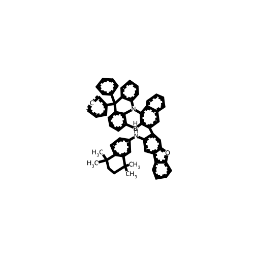 CC1(C)CCC(C)(C)c2cc(Nc3cc4c(cc3-c3cc5ccccc5c5c3Bc3cccc6c3N5c3ccccc3C6(c3ccccc3)c3ccccc3)oc3ccccc34)ccc21